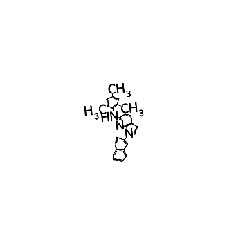 Cc1cc(C)c(Nc2ccc3ccn(-c4ccc5ccccc5c4)c3n2)c(C)c1